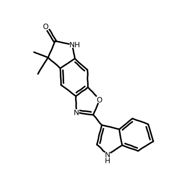 CC1(C)C(=O)Nc2cc3oc(-c4c[nH]c5ccccc45)nc3cc21